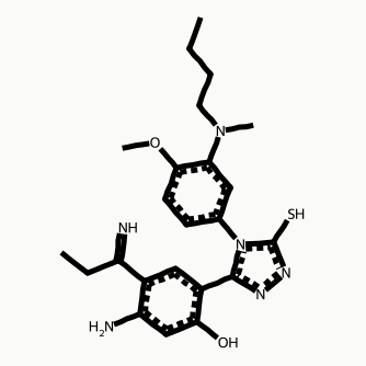 CCCCN(C)c1cc(-n2c(S)nnc2-c2cc(C(=N)CC)c(N)cc2O)ccc1OC